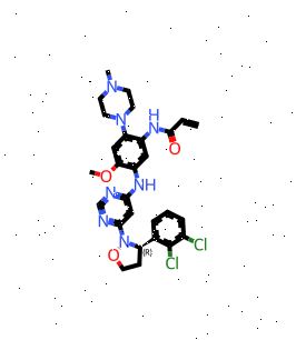 C=CC(=O)Nc1cc(Nc2cc(N3OCC[C@@H]3c3cccc(Cl)c3Cl)ncn2)c(OC)cc1N1CCN(C)CC1